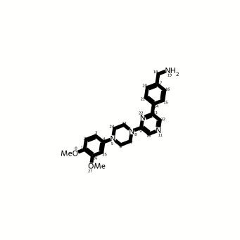 COc1ccc(N2CCN(c3cncc(-c4ccc(CN)cc4)n3)CC2)cc1OC